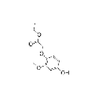 CCOC(=O)COc1ccc(O)cc1OC